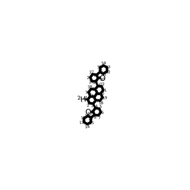 [2H]c1cc(-c2cccc3c2oc2ccccc23)c2ccc3ccc(-c4cccc5c4oc4ccccc45)c4ccc1c2c34